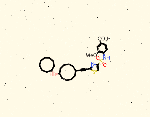 COc1cc(C(=O)O)ccc1NS(=O)(=O)c1csc(C#CC2CCCCC(BC3CCCCCCCC3)CCCC2)n1